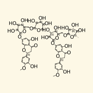 COc1ccc([C@@H]2CC(=O)c3c(O)cc(O[C@@H]4O[C@H](CO[C@@H]5O[C@@H](C)[C@H](O)[C@@H](O)[C@H]5O)[C@@H](O)[C@H](O)[C@H]4O)cc3O2)cc1O.COc1ccc([C@@H]2CC(=O)c3c(O)cc(O[C@@H]4O[C@H](CO[C@@H]5O[C@@H](C)[C@H](O)[C@@H](O)[C@H]5O)[C@@H](O)[C@H](O)[C@H]4O)cc3O2)cc1O